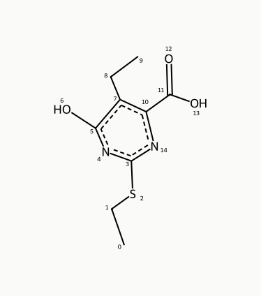 CCSc1nc(O)c(CC)c(C(=O)O)n1